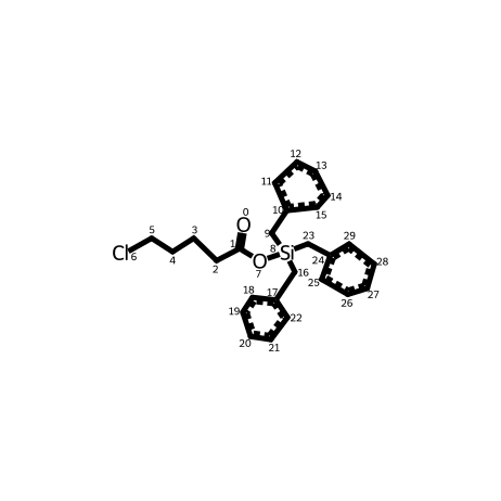 O=C(CCCCCl)O[Si](Cc1ccccc1)(Cc1ccccc1)Cc1ccccc1